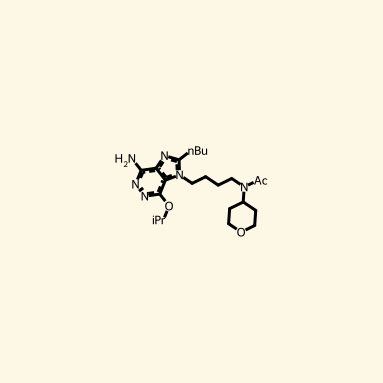 CCCCc1nc2c(N)nnc(OC(C)C)c2n1CCCCN(C(C)=O)C1CCOCC1